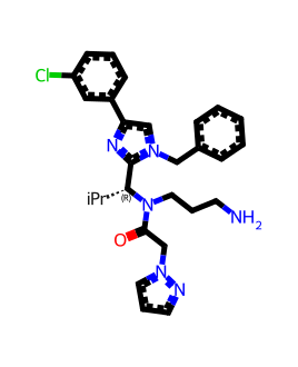 CC(C)[C@H](c1nc(-c2cccc(Cl)c2)cn1Cc1ccccc1)N(CCCN)C(=O)Cn1cccn1